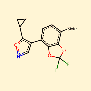 CSc1ccc(-c2cnoc2C2CC2)c2c1OC(F)(F)O2